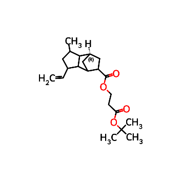 C=CC1CC(C)C2C1C1C[C@@H]2CC1C(=O)OCCC(=O)OC(C)(C)C